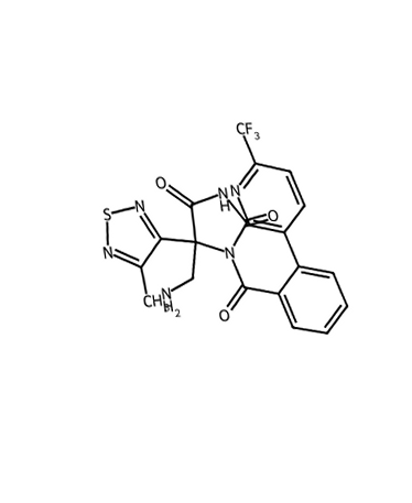 Cc1nsnc1C1(CN)C(=O)NC(=O)N1C(=O)c1ccccc1-c1ccc(C(F)(F)F)nc1